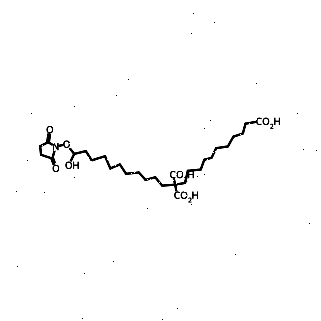 O=C(O)CCCCCCCCCCC(CCCCCCCCCCC(O)ON1C(=O)CCC1=O)(C(=O)O)C(=O)O